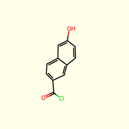 O=C(Cl)c1ccc2cc(O)ccc2c1